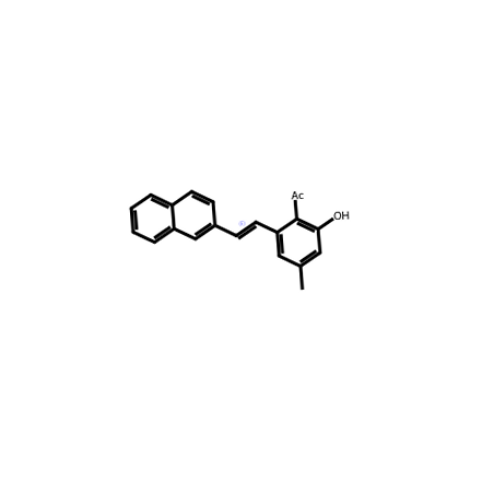 CC(=O)c1c(O)cc(C)cc1/C=C/c1ccc2ccccc2c1